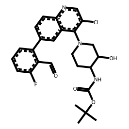 CC(C)(C)OC(=O)NC1CCN(c2c(Cl)cnc3ccc(-c4cccc(F)c4C=O)cc23)CC1O